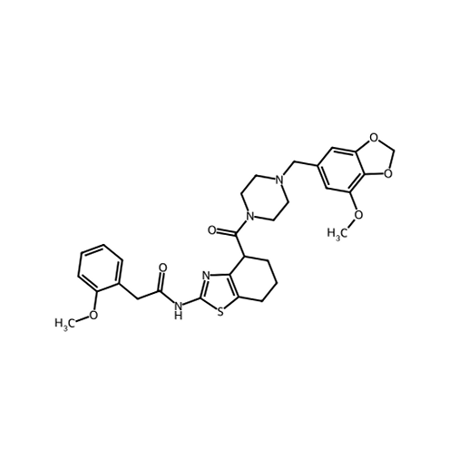 COc1ccccc1CC(=O)Nc1nc2c(s1)CCCC2C(=O)N1CCN(Cc2cc(OC)c3c(c2)OCO3)CC1